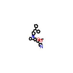 CCOC(=O)/C(=C\c1ccc2c(c1)C1CCCC1N2c1ccc(C=C(c2ccccc2)c2ccccc2)cc1)c1ccncc1